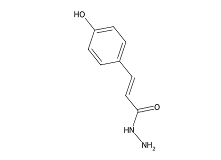 NNC(=O)C=Cc1ccc(O)cc1